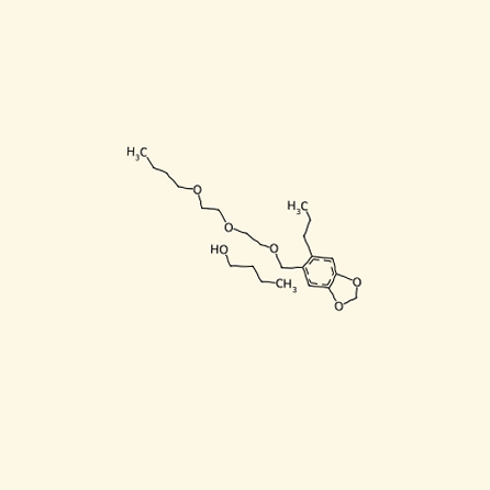 CCCCO.CCCCOCCOCCOCc1cc2c(cc1CCC)OCO2